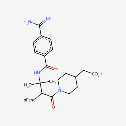 CCCCCC(C(=O)N1CCC(CC(=O)O)CC1)C(C)(C)NC(=O)c1ccc(C(=N)N)cc1